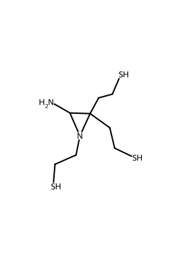 NC1N(CCS)C1(CCS)CCS